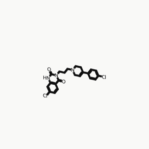 O=c1[nH]c2cc(Cl)ccc2c(=O)n1CCCN1CC=C(c2ccc(Cl)cc2)CC1